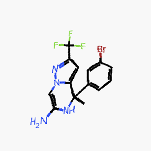 CC1(c2cccc(Br)c2)NC(N)=Cn2nc(C(F)(F)F)cc21